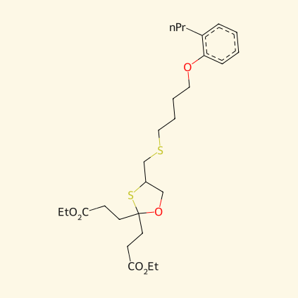 CCCc1ccccc1OCCCCSCC1COC(CCC(=O)OCC)(CCC(=O)OCC)S1